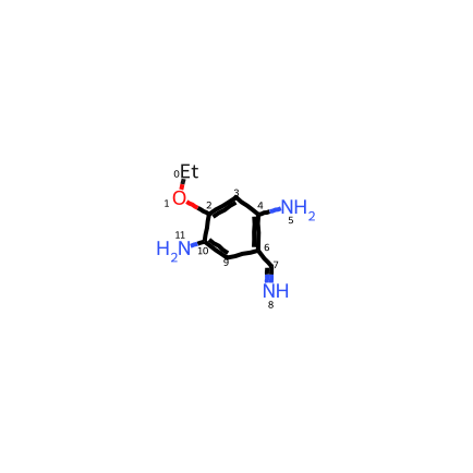 CCOc1cc(N)c(C=N)cc1N